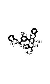 CCC(NC[C@@H](O)[C@H](Cc1ccccc1)NC(=O)c1cc(C)cc(C(=O)N(C)Cc2ccccn2)c1)c1cn[nH]c1